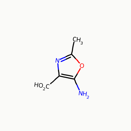 Cc1nc(C(=O)O)c(N)o1